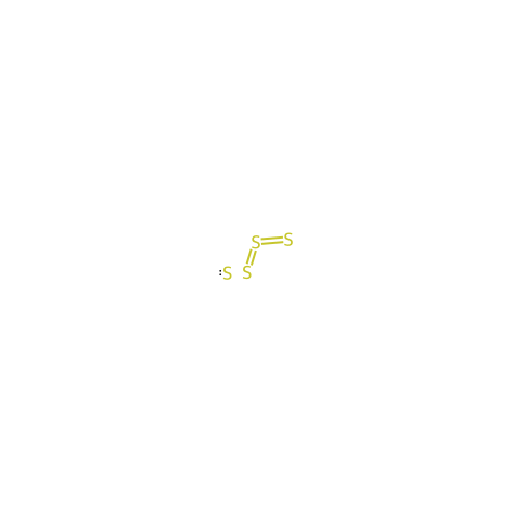 S=S=S.[S]